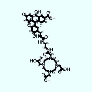 O=C(O)CN1CCN(CC(=O)O)CCN(CC(=O)NCCNC(=O)CCc2cc3c(-c4ccc(C(=O)O)cc4C(=O)O)c4ccc(=O)cc-4oc3cc2O)CCN(CC(=O)O)CC1